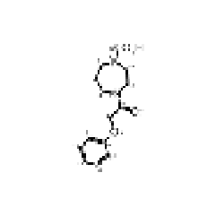 O=C(O)N1CCCN(C(=O)COc2ccccc2)CC1